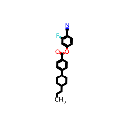 CCCC1CCC(c2ccc(C(=O)Oc3ccc(C#N)c(F)c3)cc2)CC1